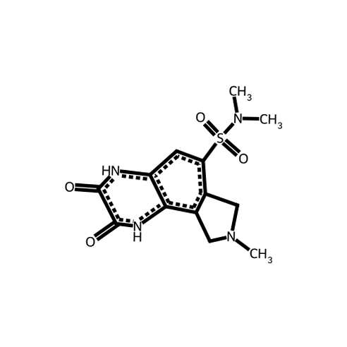 CN1Cc2c(S(=O)(=O)N(C)C)cc3[nH]c(=O)c(=O)[nH]c3c2C1